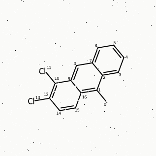 Cc1c2ccccc2cc2c(Cl)c(Cl)ccc12